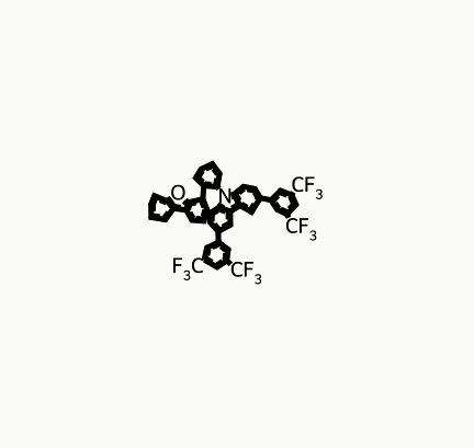 FC(F)(F)c1cc(-c2ccc3c(c2)c2cc(-c4cc(C(F)(F)F)cc(C(F)(F)F)c4)ccc2n3-c2ccccc2-c2cccc3c2oc2ccccc23)cc(C(F)(F)F)c1